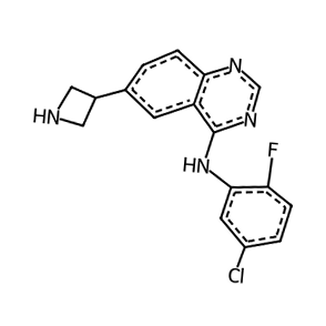 Fc1ccc(Cl)cc1Nc1ncnc2ccc(C3CNC3)cc12